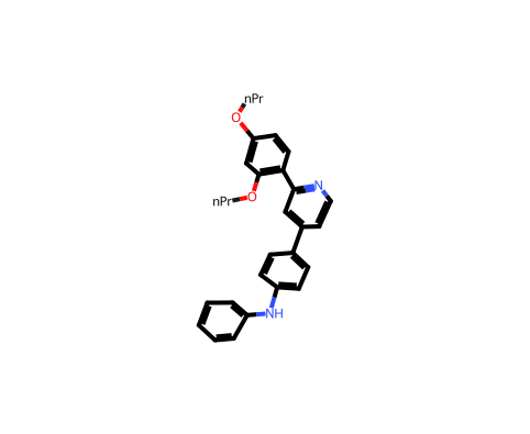 CCCOc1ccc(-c2cc(-c3ccc(Nc4ccccc4)cc3)ccn2)c(OCCC)c1